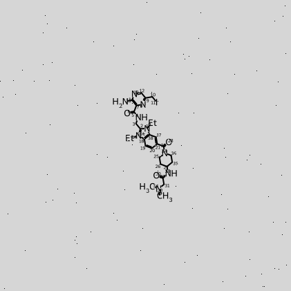 CCn1c(CNC(=O)c2nc(CI)cnc2N)[n+](CC)c2ccc(C(=O)N3CCC(NC(=O)CN(C)C)CC3)cc21